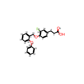 O=C(O)CCc1ccc(OCc2ccccc2Oc2ccccc2)c(F)c1